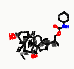 CC[C@H]1[C@@H](O)[C@@H]2[C@H](CC[C@]3(C)[C@@H]([C@H](C)COC(=O)NC4CCCCC4)CC[C@@H]23)[C@@]2(C)CC[C@@H](O)C[C@@H]12